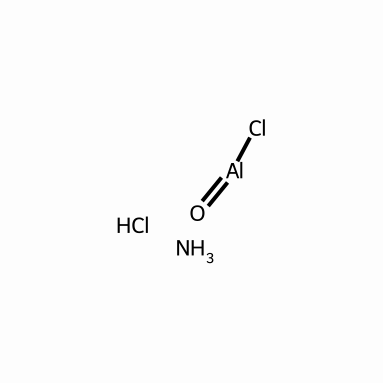 Cl.N.[O]=[Al][Cl]